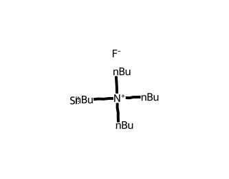 CCCC[N+](CCCC)(CCCC)CCCC.[F-].[Si]